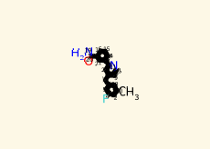 Cc1cc(F)cc(Cc2ccnc(-c3cccc(C(N)=O)c3)c2)c1